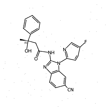 C[C@](O)(CC(=O)Nc1nc2ccc(C#N)cc2n1-c1ccc(F)cn1)c1ccccc1